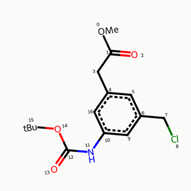 COC(=O)Cc1cc(CCl)cc(NC(=O)OC(C)(C)C)c1